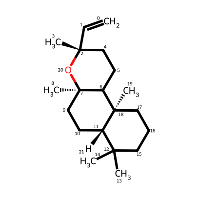 C=C[C@]1(C)CCC2[C@@](C)(CC[C@H]3C(C)(C)CCC[C@]23C)O1